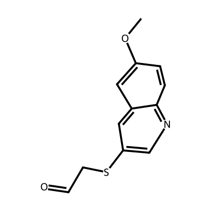 COc1ccc2ncc(SCC=O)cc2c1